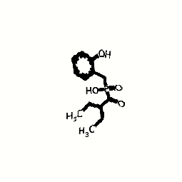 CCC(CC)C(=O)P(=O)(O)Cc1ccccc1O